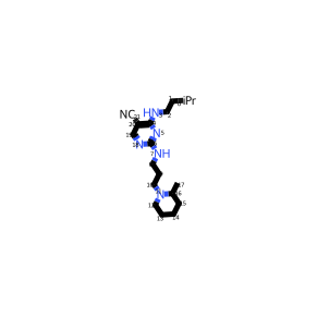 CC(C)CCNc1nc(NCCCN2CCCCC2C)ncc1C#N